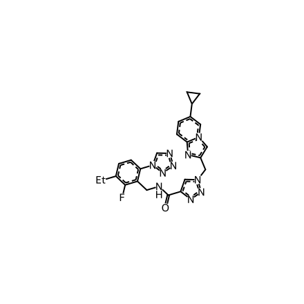 CCc1ccc(-n2cnnn2)c(CNC(=O)c2cn(Cc3cn4cc(C5CC5)ccc4n3)nn2)c1F